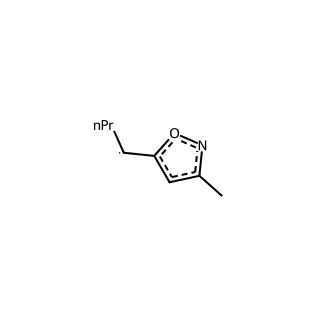 CCC[CH]c1cc(C)no1